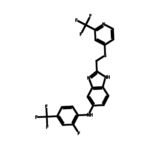 Fc1cc(C(F)(F)F)ccc1Nc1ccc2[nH]c(CSc3ccnc(C(F)(F)F)c3)nc2c1